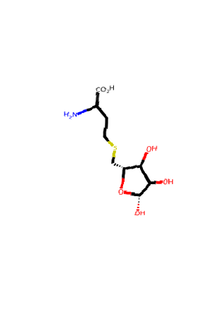 NC(CCSC[C@H]1O[C@@H](O)C(O)C1O)C(=O)O